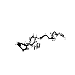 Cl.Nc1nnc(CCCCN2CCN(c3ccccc3)CC2)s1